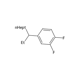 CCCCCCCC(CC)c1ccc(F)c(F)c1